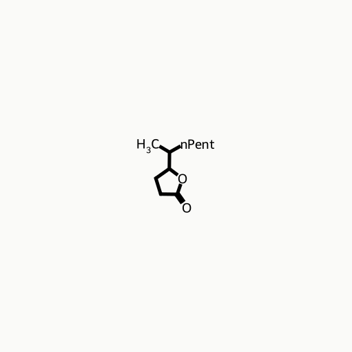 CCCCCC(C)C1CCC(=O)O1